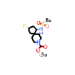 CC(C)(C)OC(=O)N1CCC2(CC1)C[C@H](F)C[C@H]2NS(=O)(=O)C(C)(C)C